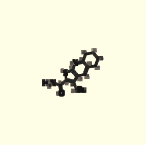 CC(C)(C)c1c(C(N)=O)sc2nc3c(cc12)CCCC3